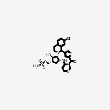 NS(=O)(=O)OC[C@H]1C[C@@H](NC2=CC=NCN2C(=O)c2cc(C3OCCc4ccc(Cl)cc43)cs2)C[C@@H]1O